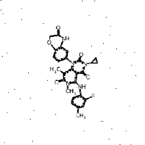 Cc1ccc(Nc2c3c(=O)n(C4CC4)c(=O)n(-c4ccc5c(c4)NC(=O)CO5)c3c(C)c(=O)n2C)c(F)c1